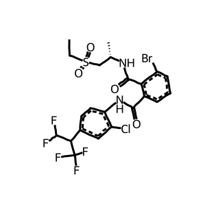 CCS(=O)(=O)C[C@H](C)NC(=O)c1c(Br)cccc1C(=O)Nc1ccc(C(C(F)F)C(F)(F)F)cc1Cl